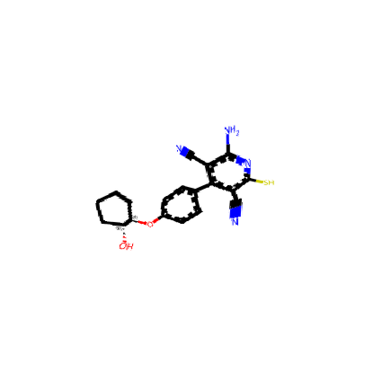 N#Cc1c(N)nc(S)c(C#N)c1-c1ccc(O[C@@H]2CCCC[C@H]2O)cc1